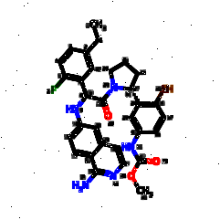 CCc1ccc(F)c([C@H](Nc2ccc3c(N)nccc3c2)C(=O)N2CCC[C@@H]2c2cc(NC(=O)OC)ccc2S)c1